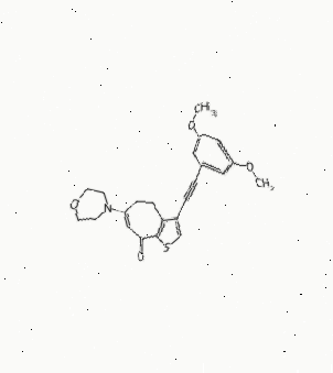 COc1cc(C#Cc2csc3c2CCC(N2CCOCC2)=CC3=O)cc(OC)c1